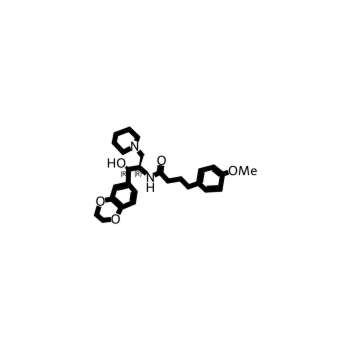 COc1ccc(CCCC(=O)N[C@H](CN2CCCCC2)[C@H](O)c2ccc3c(c2)OCCO3)cc1